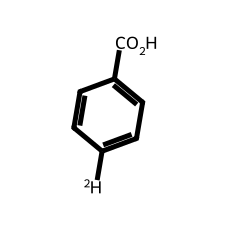 [2H]c1ccc(C(=O)O)cc1